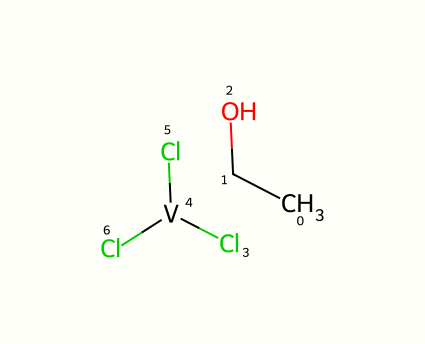 CCO.[Cl][V]([Cl])[Cl]